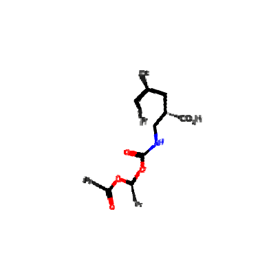 CC[C@H](CC(C)C)C[C@@H](CNC(=O)O[C@H](OC(=O)C(C)C)C(C)C)C(=O)O